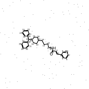 O=C(C=Cc1cccnc1)NCCCCC1CCN(C(c2ccccc2)c2ccccc2)CC1